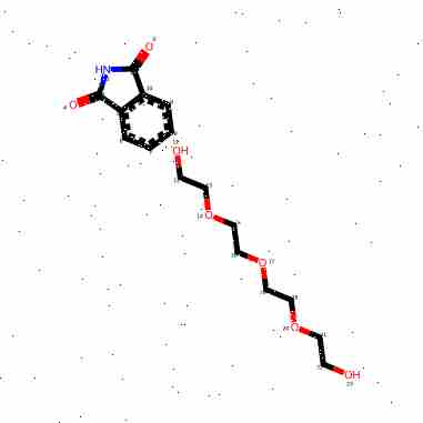 O=C1NC(=O)c2ccccc21.OCCOCCOCCOCCO